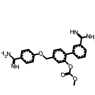 COC(=O)Oc1cc(COc2ccc(C(=N)N)cc2)ccc1-c1cccc(C(=N)N)c1